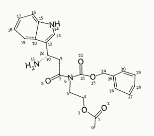 CC(=O)OCCN(C(=O)C[C@H](N)c1c[nH]c2ccccc12)C(=O)OCc1ccccc1